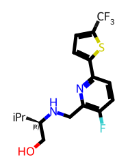 CC(C)[C@H](CO)NCc1nc(-c2ccc(C(F)(F)F)s2)ccc1F